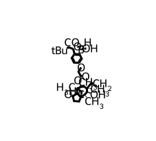 C=C[C@]1(C)C[C@@H](OC(=O)COc2ccc3c(c2)B(O)OC3C(C(=O)O)C(C)(C)C)[C@]2(C)[C@H](C)CC[C@]3(CCC(=O)[C@H]32)[C@@H](C)[C@@H]1O